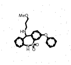 COCCCNC1c2ccccc2NS(=O)(=O)c2cc(Oc3ccccc3)ccc21